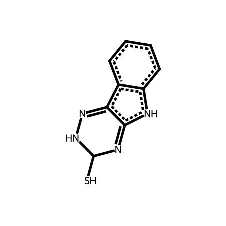 SC1N=c2[nH]c3ccccc3c2=NN1